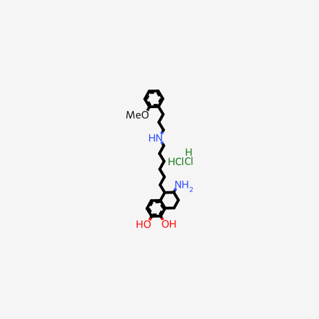 COc1ccccc1CCCNCCCCCCC1c2ccc(O)c(O)c2CCC1N.Cl.Cl